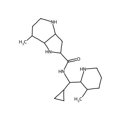 CC1CCNC2CC(C(=O)NC(C3CC3)C3NCCCC3C)NC12